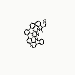 C=N/C=C\c1c(C)n(-c2nc(-c3c(-c4ccccc4)cccc3-c3ccccc3)nc(-n3c4ccccc4c4ccncc43)n2)c2ccccc12